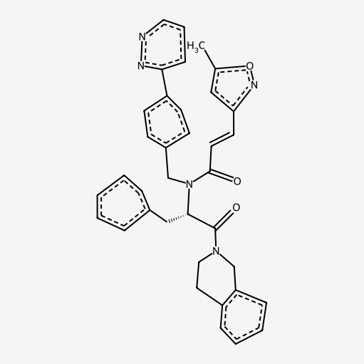 Cc1cc(/C=C/C(=O)N(Cc2ccc(-c3cccnn3)cc2)[C@@H](Cc2ccccc2)C(=O)N2CCc3ccccc3C2)no1